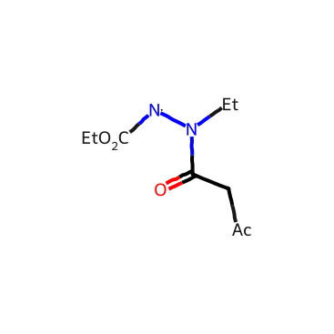 CCOC(=O)[N]N(CC)C(=O)CC(C)=O